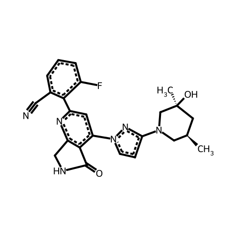 C[C@H]1CN(c2ccn(-c3cc(-c4c(F)cccc4C#N)nc4c3C(=O)NC4)n2)C[C@@](C)(O)C1